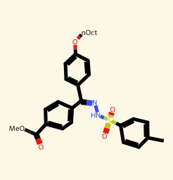 CCCCCCCCOc1ccc(C(=NNS(=O)(=O)c2ccc(C)cc2)c2ccc(C(=O)OC)cc2)cc1